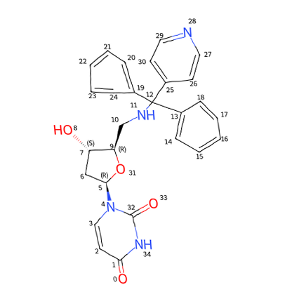 O=c1ccn([C@H]2C[C@H](O)[C@@H](CNC(c3ccccc3)(c3ccccc3)c3ccncc3)O2)c(=O)[nH]1